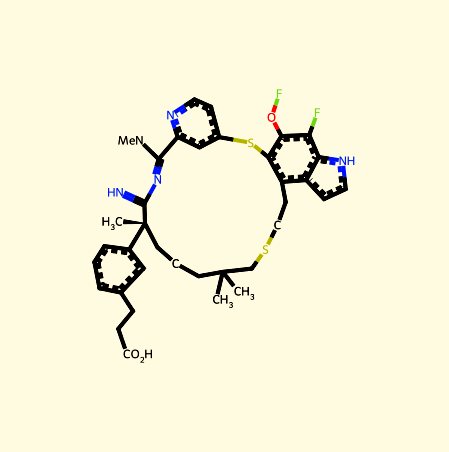 CN/C1=N\C(=N)[C@@](C)(c2cccc(CCC(=O)O)c2)CCCC(C)(C)CSCCc2c(c(OF)c(F)c3[nH]ccc23)Sc2ccnc1c2